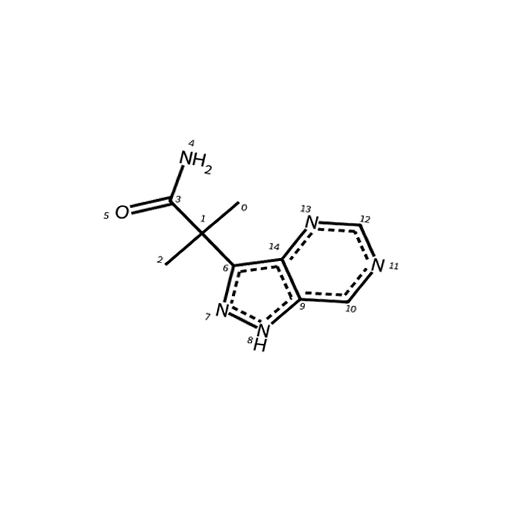 CC(C)(C(N)=O)c1n[nH]c2cncnc12